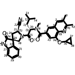 Cc1cc2cc(C(=O)N(C)[C@@H](CC(C)C)C(=O)N3C[C@]4(C[C@H]3C#N)C(=O)Nc3ccccc34)cc(OC3CC3)c2nc1C